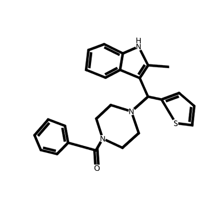 Cc1[nH]c2ccccc2c1C(c1cccs1)N1CCN(C(=O)c2ccccc2)CC1